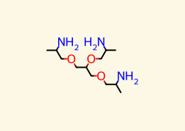 CC(N)COCC(COCC(C)N)OCC(C)N